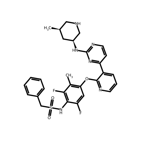 Cc1c(Oc2ncccc2-c2ccnc(N[C@@H]3CNC[C@H](C)C3)n2)cc(F)c(NS(=O)(=O)Cc2ccccc2)c1F